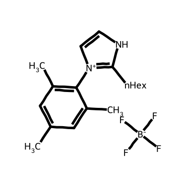 CCCCCCc1[nH]cc[n+]1-c1c(C)cc(C)cc1C.F[B-](F)(F)F